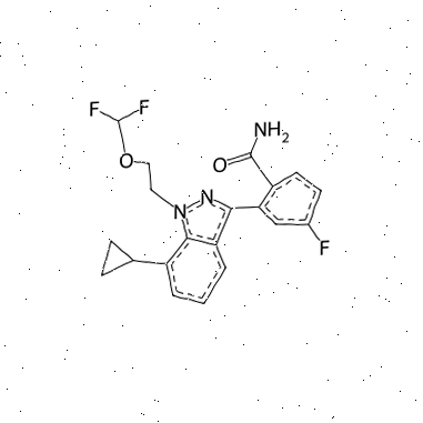 NC(=O)c1ccc(F)cc1-c1nn(CCOC(F)F)c2c(C3CC3)cccc12